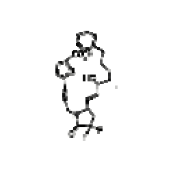 C[C@@H](CCCc1ccccc1)[C@H](O)C=C[C@H]1CC(F)(F)C(=O)N1CC#Cc1ccc(C(=O)O)s1